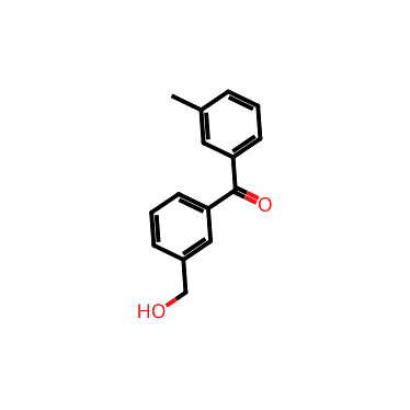 Cc1cccc(C(=O)c2cccc(CO)c2)c1